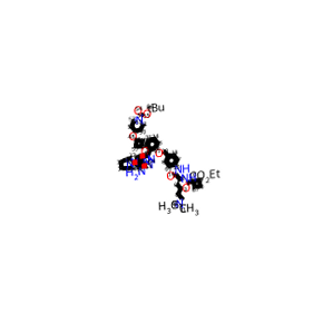 CCOC(=O)C1(C(=O)N[C@@H](CCCCN(C)C)C(=O)Nc2ccc(COc3ccccc3-c3cc(N4CC5CCC(C4)N5c4ccnc(O[C@H]5C[C@H](OC6CCN(C(=O)OC(C)(C)C)CC6)C5)c4)c(N)nn3)cc2)CCC1